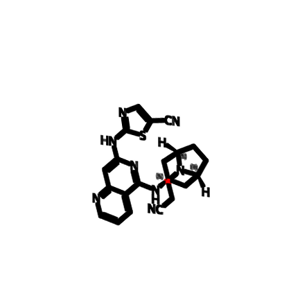 N#CCCN1[C@@H]2CC[C@H]1C[C@H](Nc1nc(Nc3ncc(C#N)s3)cc3ncccc13)C2